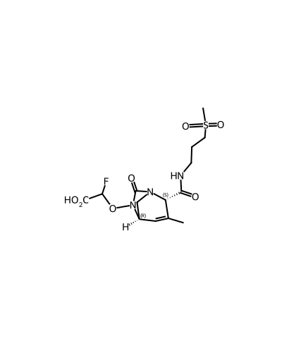 CC1=C[C@@H]2CN(C(=O)N2OC(F)C(=O)O)[C@@H]1C(=O)NCCCS(C)(=O)=O